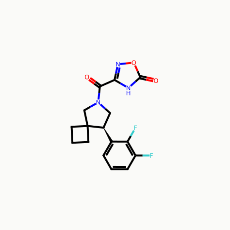 O=C(c1noc(=O)[nH]1)N1C[C@@H](c2cccc(F)c2F)C2(CCC2)C1